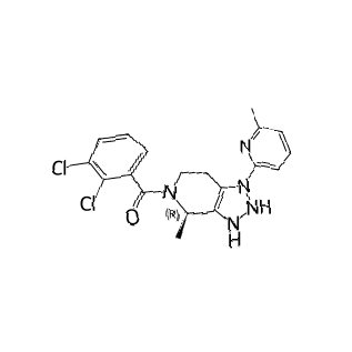 Cc1cccc(N2NNC3=C2CCN(C(=O)c2cccc(Cl)c2Cl)[C@@H]3C)n1